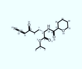 CC(C)OC(=O)[C@H](CCC(=O)C=[N+]=[N-])NC(=O)C1CCCCO1